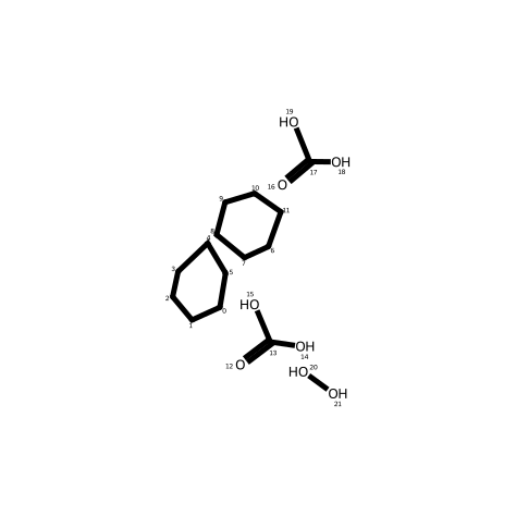 C1CCCCC1.C1CCCCC1.O=C(O)O.O=C(O)O.OO